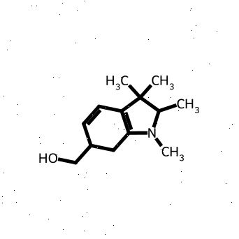 CC1N(C)C2=C(C=CC(CO)C2)C1(C)C